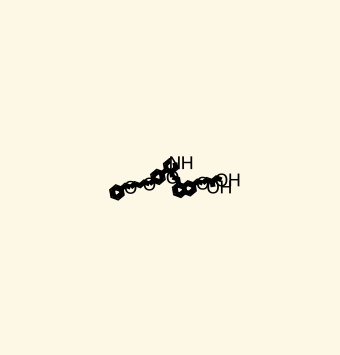 OCC(O)COCc1ccc2cccc(COC3CNCCC3c3ccc(OCCCOCc4ccccc4)cc3)c2c1